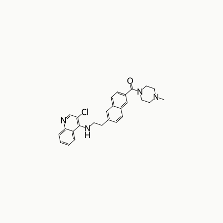 CN1CCN(C(=O)c2ccc3cc(CCNc4c(Cl)cnc5ccccc45)ccc3c2)CC1